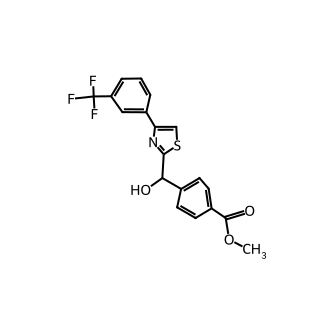 COC(=O)c1ccc(C(O)c2nc(-c3cccc(C(F)(F)F)c3)cs2)cc1